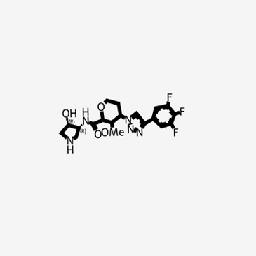 COC1C(C(=O)N[C@@H]2CNC[C@H]2O)OCCC1n1cc(-c2cc(F)c(F)c(F)c2)nn1